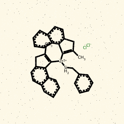 CC1=[C]([Zr+2]([SiH2]Cc2ccccc2)[C]2=C(C)Cc3ccc4ccccc4c32)c2c(ccc3ccccc23)C1.[Cl-].[Cl-]